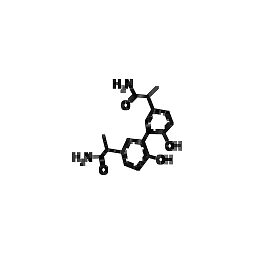 CC(C(N)=O)c1ccc(O)c(-c2cc(C(C)C(N)=O)ccc2O)c1